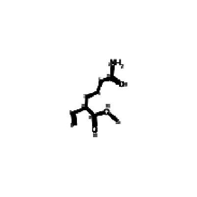 C=CC(CCCC(N)=O)C(=O)OC